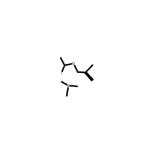 C=C(C)COC(C)I.CN(C)C